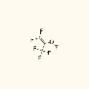 FOC(=C(F)F)C(F)(F)F